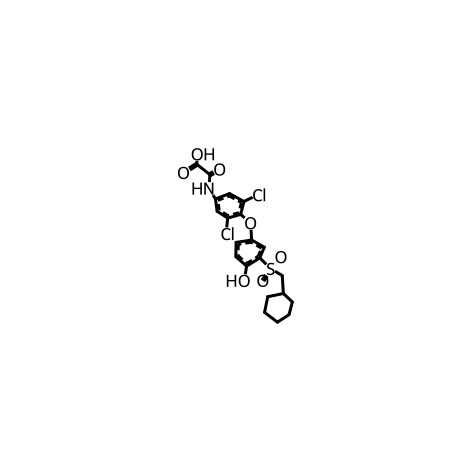 O=C(O)C(=O)Nc1cc(Cl)c(Oc2ccc(O)c(S(=O)(=O)CC3CCCCC3)c2)c(Cl)c1